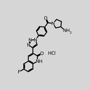 Cl.NC1CCN(C(=O)c2ccc(-n3cc(-c4cc5cc(F)ccc5[nH]c4=O)nn3)cc2)C1